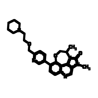 CC1COc2c(-c3ccc(COCCN4CCCCC4)nc3)ccc3ncc4c(c23)n1c(=O)n4C